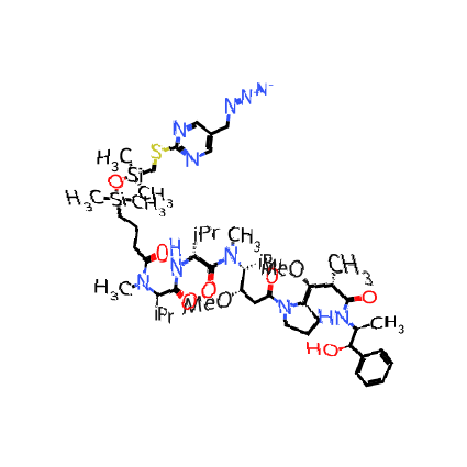 CC[C@@H](C)[C@H]([C@H](CC(=O)N1CCC[C@@H]1[C@@H](OC)[C@H](C)C(=O)N[C@@H](C)[C@H](O)c1ccccc1)OC)N(C)C(=O)[C@H](NC(=O)[C@@H](C(C)C)N(C)C(=O)CCC[Si](C)(C)O[Si](C)(C)CSc1ncc(CN=[N+]=[N-])cn1)C(C)C